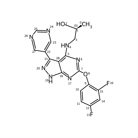 C[C@H](O)CNc1nc(Oc2ccc(F)cc2F)nc2[nH]nc(-c3cncnc3)c12